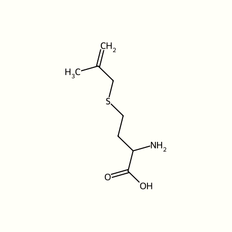 C=C(C)CSCCC(N)C(=O)O